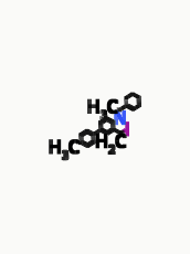 C=C(I)c1cc(-c2ccc(C)cc2)ccc1/N=C(\C)C1=CC=CCC1